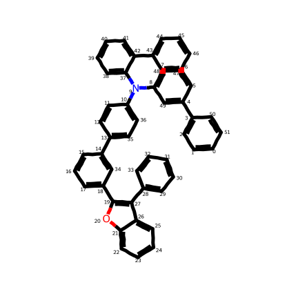 c1ccc(-c2cccc(N(c3ccc(-c4cccc(-c5oc6ccccc6c5-c5ccccc5)c4)cc3)c3ccccc3-c3ccccc3)c2)cc1